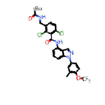 Cc1cc(-n2ncc3c(NC(=O)c4c(Cl)ccc(CNC(=O)C(C)(C)C)c4Cl)cccc32)ccc1OC(F)(F)F